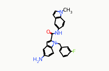 Cn1ccc2cc(NC(=O)c3cc4cc(N)ccc4n3Cc3cccc(F)c3)ccc21